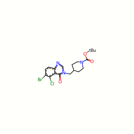 CC(C)(C)OC(=O)N1CCC(Cn2cnc3ccc(Br)c(Cl)c3c2=O)CC1